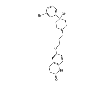 O=C1CCc2cc(OCCCN3CCC(O)(c4cccc(Br)c4)CC3)ccc2N1